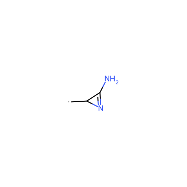 [CH2]C1N=C1N